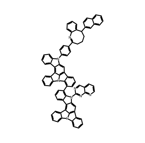 c1ccc2c(c1)/N=C(/c1ccc(-n3c4ccccc4c4c5c6ccccc6n6c7c(-c8cccc9c%10c%11c%12ccccc%12n%12c%13ccccc%13c(cc%10n(-c%10ncc%13cccnc%13n%10)c89)c%11%12)cccc7c(cc43)c56)cc1)CCCC2c1ccc2ccccc2c1